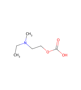 CCN(C)CCOC(=O)O